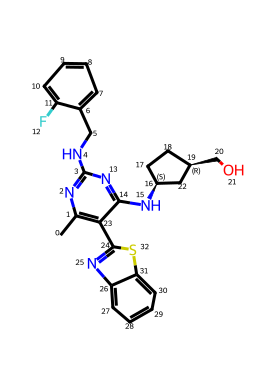 Cc1nc(NCc2ccccc2F)nc(N[C@H]2CC[C@@H](CO)C2)c1-c1nc2ccccc2s1